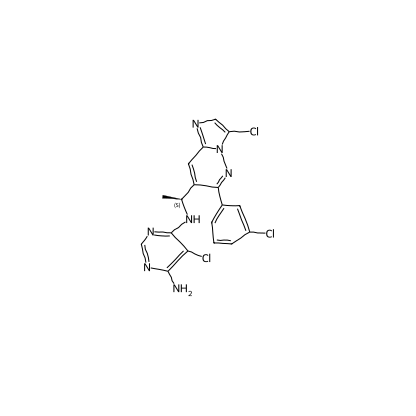 C[C@H](Nc1ncnc(N)c1Cl)c1cc2ncc(Cl)n2nc1-c1cccc(Cl)c1